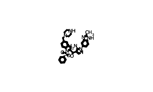 Cc1nc2cc(-n3ncc(C(=O)c4cc5cc(CN6CCNCC6)ccc5n4S(=O)(=O)c4ccccc4)c3N)ccc2[nH]1